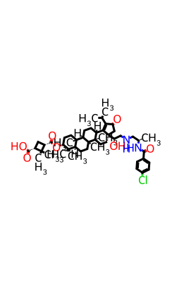 CC(C)C1=C2[C@H]3CC[C@@H]4[C@@]5(C)CC[C@H](OC(=O)[C@H]6C[C@@H](C(=O)O)C6(C)C)C(C)(C)[C@@H]5CC[C@@]4(C)[C@]3(C)CC[C@@]2([C@@H](O)CNC[C@H](C)NC(=O)c2ccc(Cl)cc2)CC1=O